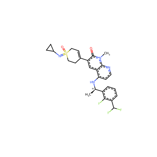 C[C@@H](Nc1ccnc2c1cc(C1=CCS(=O)(=NC3CC3)CC1)c(=O)n2C)c1cccc(C(F)F)c1F